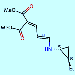 CC[C@@H]1C[C@H]1N/C=C/C=C(C(=O)OC)C(=O)OC